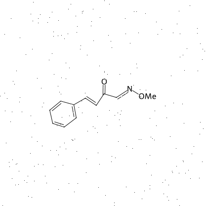 CON=CC(=O)C=Cc1ccccc1